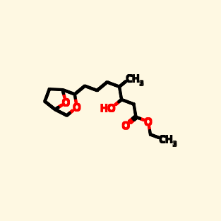 CCOC(=O)CC(O)C(C)CCCC1OCC2CCC1O2